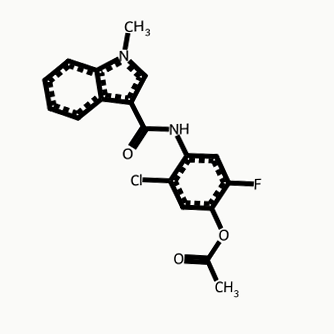 CC(=O)Oc1cc(Cl)c(NC(=O)c2cn(C)c3ccccc23)cc1F